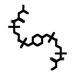 CCC(=O)NC(C)(C)CCOC(C)(C)CC1CCC(CC(C)(C)OCCC(C)(C)NC(=O)CC(C)C)CC1